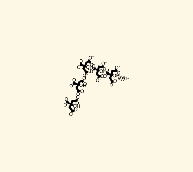 O=C([O-])CC(O)(CC(=O)[O-])C(=O)[O-].O=C([O-])CC(O)(CC(=O)[O-])C(=O)[O-].O=C([O-])CC(O)(CC(=O)[O-])C(=O)[O-].O=C([O-])CC(O)(CC(=O)[O-])C(=O)[O-].O=C([O-])CC(O)(CC(=O)[O-])C(=O)[O-].[V+5].[V+5].[V+5]